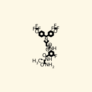 CC[C@H](NC(=O)c1cc(F)cc(NS(=O)(=O)CC2CN(C(c3ccc(OC(F)(F)F)cc3)c3ccc(OC(F)(F)F)cc3)C2)c1)C(N)=O